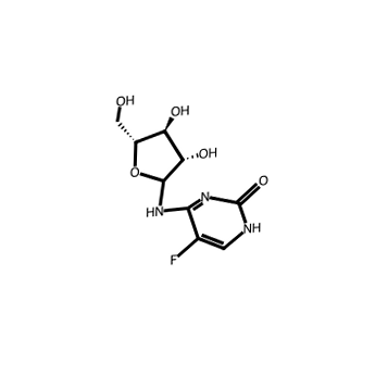 O=c1nc(NC2O[C@H](CO)[C@@H](O)[C@@H]2O)c(F)c[nH]1